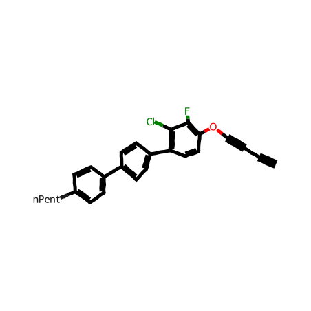 C#CC#COc1ccc(-c2ccc(-c3ccc(CCCCC)cc3)cc2)c(Cl)c1F